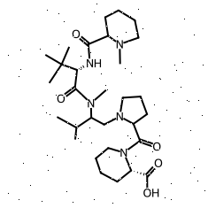 CC(C)C(CN1CCCC1C(=O)N1CCCC[C@H]1C(=O)O)N(C)C(=O)[C@@H](NC(=O)C1CCCCN1C)C(C)(C)C